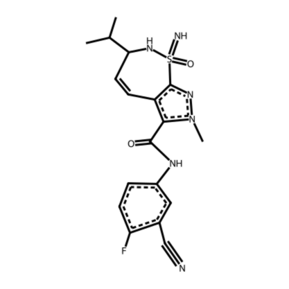 CC(C)C1C=Cc2c(nn(C)c2C(=O)Nc2ccc(F)c(C#N)c2)S(=N)(=O)N1